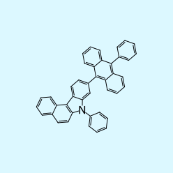 c1ccc(-c2c3ccccc3c(-c3ccc4c5c6ccccc6ccc5n(-c5ccccc5)c4c3)c3ccccc23)cc1